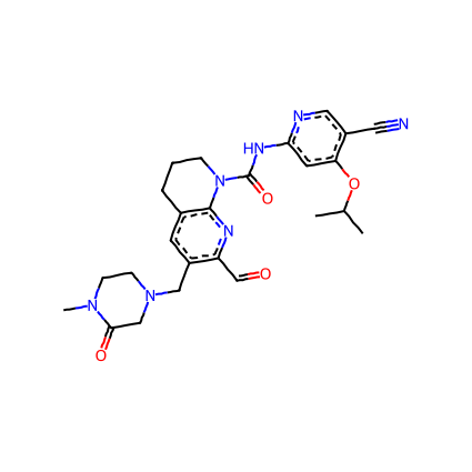 CC(C)Oc1cc(NC(=O)N2CCCc3cc(CN4CCN(C)C(=O)C4)c(C=O)nc32)ncc1C#N